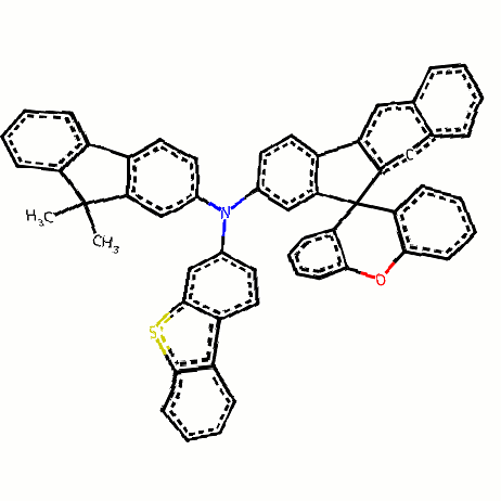 CC1(C)c2ccccc2-c2ccc(N(c3ccc4c(c3)C3(c5ccccc5Oc5ccccc53)c3cc5ccccc5cc3-4)c3ccc4c(c3)sc3ccccc34)cc21